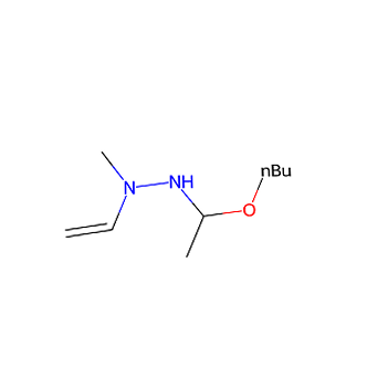 C=CN(C)NC(C)OCCCC